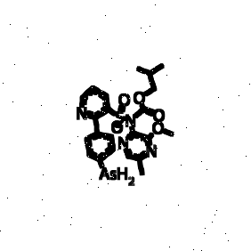 COc1nc(C)cnc1N(C(=O)OCC(C)C)S(=O)(=O)c1cccnc1-c1ccc([AsH2])cc1